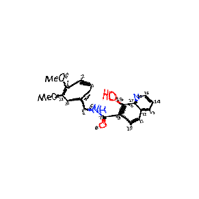 COc1ccc(CNC(=O)c2ccc3cccnc3c2O)cc1OC